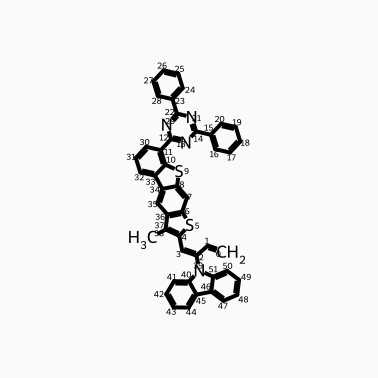 C=C/C(=C\c1sc2cc3sc4c(-c5nc(-c6ccccc6)nc(-c6ccccc6)n5)cccc4c3cc2c1C)n1c2ccccc2c2ccccc21